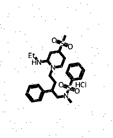 CCNC1CC(S(C)(=O)=O)CCN1CCC(CN(C)S(=O)(=O)c1ccccc1)c1ccccc1.Cl